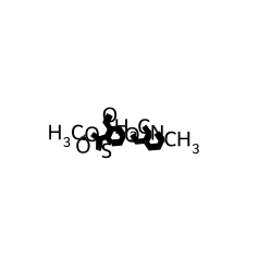 CC(=O)Oc1csc2cc(OCc3ccc(C)nc3C)cc(C=O)c12